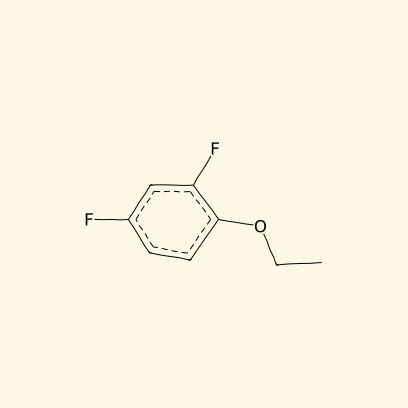 CCOc1ccc(F)cc1F